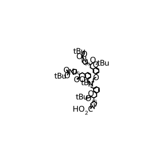 CC(C)(C)OC(=O)C(Cc1cccc(CN(CCOc2cccc(CC(C(=O)OC(C)(C)C)[C@H]3CCN(C(=O)OC(C)(C)C)C3)c2)Cc2cccc(CC(C(=O)OC(C)(C)C)[C@H]3CCN(C(=O)OC(C)(C)C)C3)c2)c1)[C@H]1CCN(C(=O)O)C1